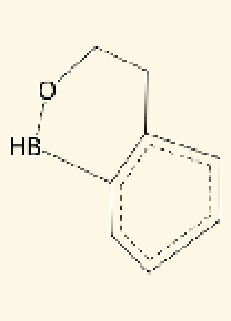 B1OCCc2ccccc21